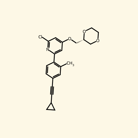 Cc1cc(C#CC2CC2)ccc1-c1cc(OC[C@H]2COCCO2)cc(Cl)n1